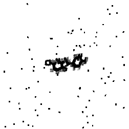 Fc1ccc(-c2nc3nc(Cl)ccc3s2)cn1